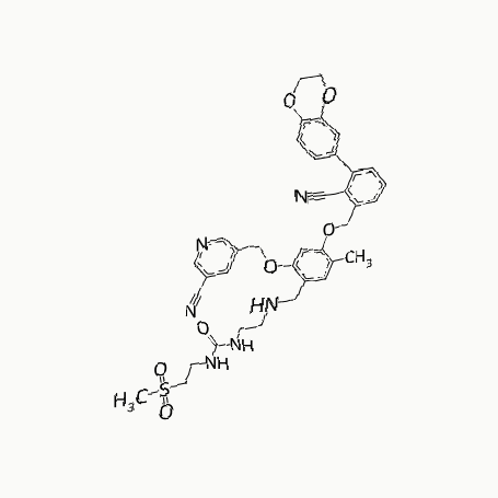 Cc1cc(CNCCNC(=O)NCCS(C)(=O)=O)c(OCc2cncc(C#N)c2)cc1OCc1cccc(-c2ccc3c(c2)OCCO3)c1C#N